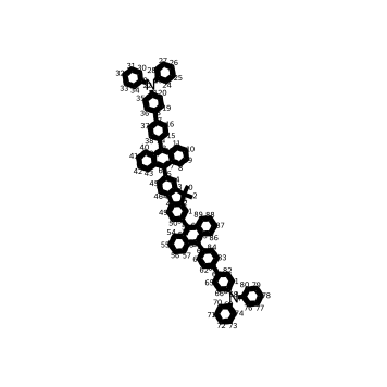 CC1(C)c2cc(-c3c4ccccc4c(-c4ccc(-c5ccc(N(c6ccccc6)c6ccccc6)cc5)cc4)c4ccccc34)ccc2-c2ccc(-c3c4ccccc4c(-c4ccc(-c5ccc(N(c6ccccc6)c6ccccc6)cc5)cc4)c4ccccc34)cc21